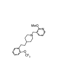 COc1ncccc1CN1CCC(CCc2ccccc2OC(F)(F)F)CC1